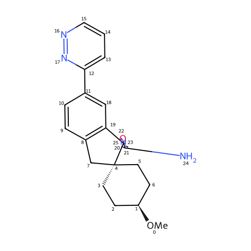 CO[C@H]1CC[C@]2(CC1)Cc1ccc(-c3cccnn3)cc1C21COC(N)=N1